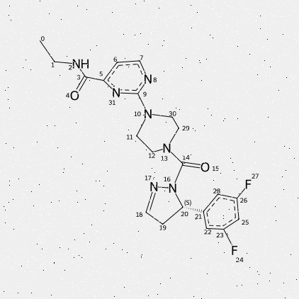 CCNC(=O)c1ccnc(N2CCN(C(=O)N3N=CC[C@H]3c3cc(F)cc(F)c3)CC2)n1